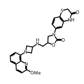 COc1ccc2cccc(N3CC(NCC4CN(c5ccc6c(c5)NC(=O)CS6)C(=O)O4)C3)c2n1